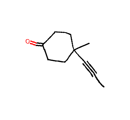 CC#CC1(C)CCC(=O)CC1